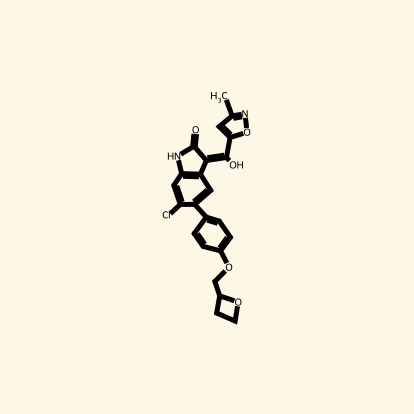 Cc1cc(/C(O)=C2\C(=O)Nc3cc(Cl)c(-c4ccc(OCC5CCO5)cc4)cc32)on1